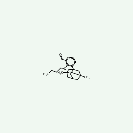 CCCCOc1c(C=O)cccc1C12CC3CC(C)(CC(C)(C3)C1)C2